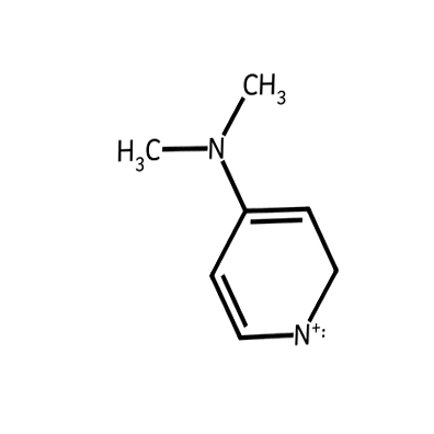 CN(C)C1=CC[N+]C=C1